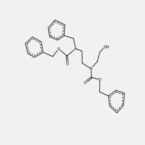 O=C(OCc1ccccc1)N(CCO)CCN(Cc1ccccc1)C(=O)OCc1ccccc1